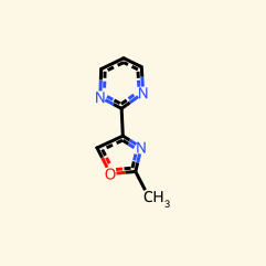 Cc1nc(-c2ncccn2)co1